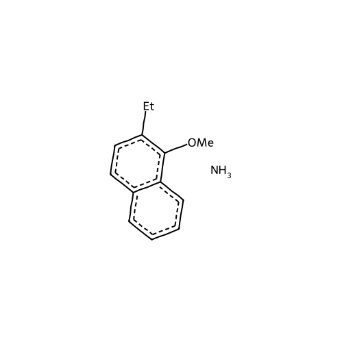 CCc1ccc2ccccc2c1OC.N